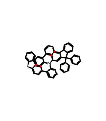 c1ccc(-c2ccccc2N(c2ccc3c(c2)C(c2ccccc2)(c2ccccc2)c2ccccc2-3)c2ccccc2-c2ccc3sc4ccccc4c3c2)cc1